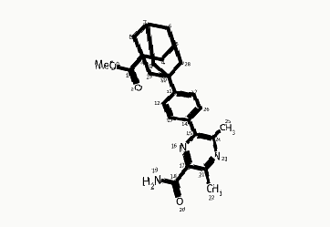 COC(=O)C12CC3CC(C1)CC(c1ccc(-c4nc(C(N)=O)c(C)nc4C)cc1)(C3)C2